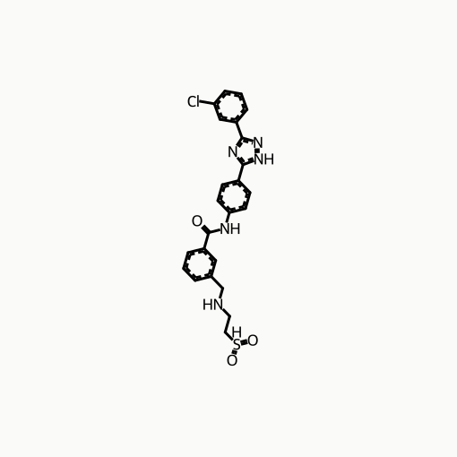 O=C(Nc1ccc(-c2nc(-c3cccc(Cl)c3)n[nH]2)cc1)c1cccc(CNCC[SH](=O)=O)c1